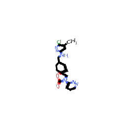 Cc1cc(NCC2CCC3(CC2)CN(c2cccnn2)C(=O)O3)nnc1Cl